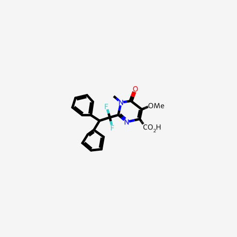 COc1c(C(=O)O)nc(C(F)(F)C(c2ccccc2)c2ccccc2)n(C)c1=O